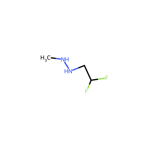 CNNCC(F)F